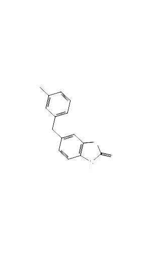 Cc1cccc(Cc2ccc3[nH]c(=S)oc3c2)c1